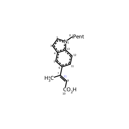 CCCC(C)n1ccc2cc(/C(C)=C/C(=O)O)ccc21